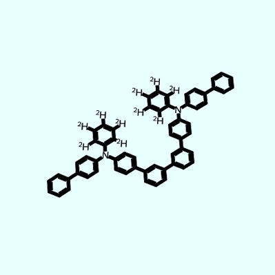 [2H]c1c([2H])c([2H])c(N(c2ccc(-c3ccccc3)cc2)c2ccc(-c3cccc(-c4cccc(-c5ccc(N(c6ccc(-c7ccccc7)cc6)c6c([2H])c([2H])c([2H])c([2H])c6[2H])cc5)c4)c3)cc2)c([2H])c1[2H]